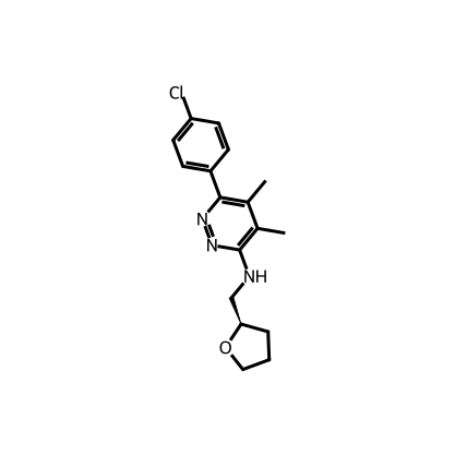 Cc1c(NC[C@H]2CCCO2)nnc(-c2ccc(Cl)cc2)c1C